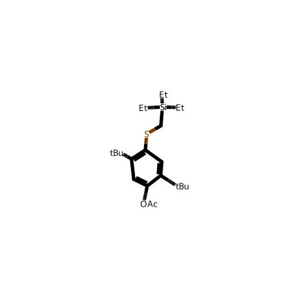 CC[Si](CC)(CC)CSc1cc(C(C)(C)C)c(OC(C)=O)cc1C(C)(C)C